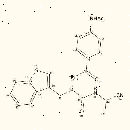 CC(=O)Nc1ccc(C(=O)NC(Cc2csc3ccccc23)C(=O)NC(C)C#N)cc1